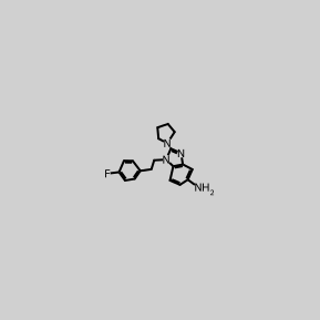 Nc1ccc2c(c1)nc(N1CCCC1)n2CCc1ccc(F)cc1